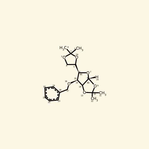 CC1(C)OCC([C@H]2O[C@@H]3OC(C)(C)OC3[C@H]2OCc2ccccc2)O1